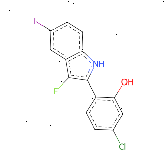 Oc1cc(Cl)ccc1-c1[nH]c2ccc(I)cc2c1F